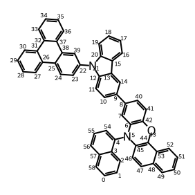 c1ccc2c(N3c4cc(-c5ccc6c(c5)c5ccccc5n6-c5ccc6c7ccccc7c7ccccc7c6c5)ccc4Oc4c3ccc3ccccc43)cccc2c1